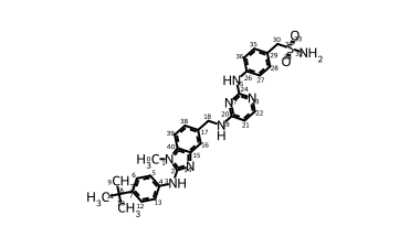 Cn1c(Nc2ccc(C(C)(C)C)cc2)nc2cc(CNc3ccnc(Nc4ccc(CS(N)(=O)=O)cc4)n3)ccc21